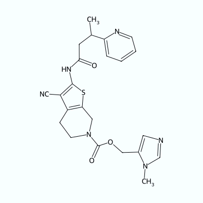 CC(CC(=O)Nc1sc2c(c1C#N)CCN(C(=O)OCc1cncn1C)C2)c1ccccn1